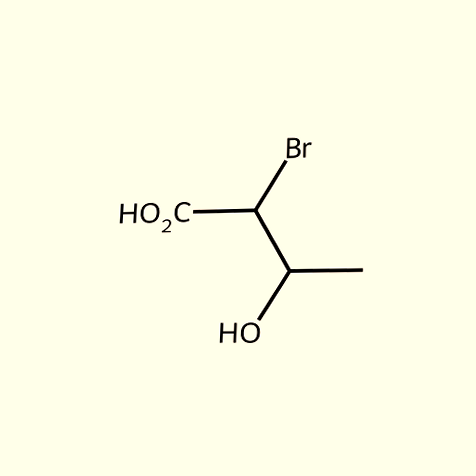 CC(O)C(Br)C(=O)O